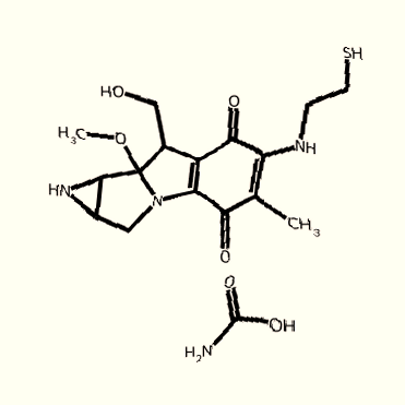 COC12C(CO)C3=C(C(=O)C(C)=C(NCCS)C3=O)N1CC1NC12.NC(=O)O